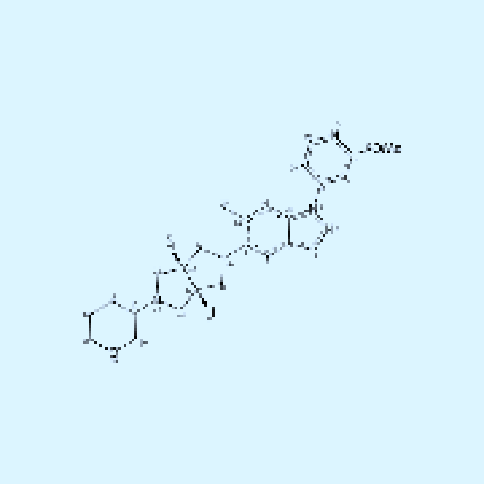 COc1cc(-n2ncc3cc(C4C[C@@H]5CN(C6CCCOC6)C[C@@H]5C4)c(C)cc32)ccn1